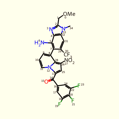 COCc1nc2c(N)c(-c3cccn4c(C(=O)c5cc(F)c(F)c(F)c5)cc([N+](=O)[O-])c34)c(C(F)(F)F)cc2n1C